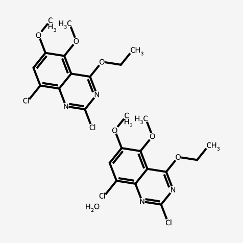 CCOc1nc(Cl)nc2c(Cl)cc(OC)c(OC)c12.CCOc1nc(Cl)nc2c(Cl)cc(OC)c(OC)c12.O